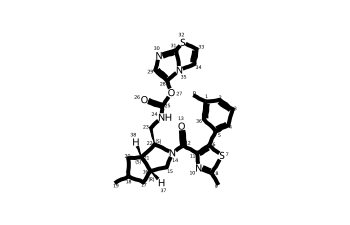 Cc1cccc(-c2sc(C)nc2C(=O)N2C[C@@H]3CC(C)C[C@@H]3[C@H]2CNC(=O)Oc2cnc3sccn23)c1